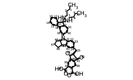 CCCCNC1(NCCCC)c2ccccc2-c2cc(N3c4ccc(C=C5C(=O)c6cc(C(=O)O)c(C(=O)O)cc6C5=O)cc4C4CCCC43)ccc21